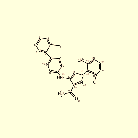 Cc1cccnc1-c1ccc(Nc2cn(-c3c(Cl)cccc3Cl)nc2C(N)=O)cn1